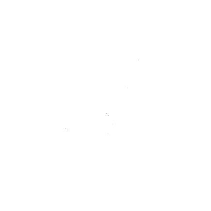 CC(C)(C)OC(=O)N1CCC(N2CCc3c(C#N)cccc3NC2=O)CC1